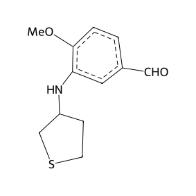 COc1ccc(C=O)cc1NC1CCSC1